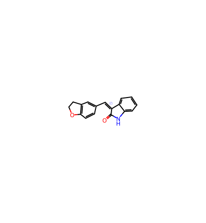 O=C1Nc2ccccc2/C1=C/c1ccc2c(c1)CCO2